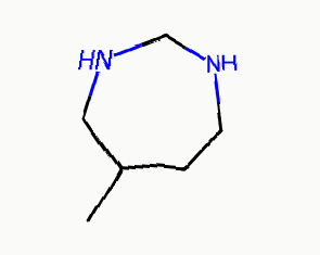 CC1CCNCNC1